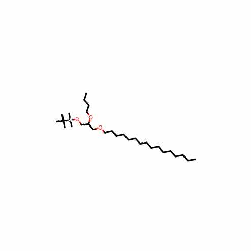 CCCCCCCCCCCCCCCCOCC(CO[Si](C)(C)C(C)(C)C)OCCCC